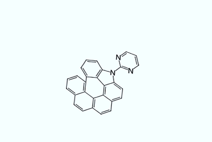 c1cnc(-n2c3cccc4c3c3c5c(ccc6ccc7cccc-4c7c65)ccc32)nc1